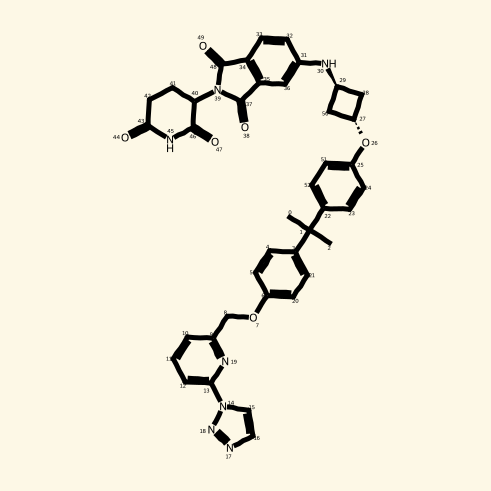 CC(C)(c1ccc(OCc2cccc(-n3ccnn3)n2)cc1)c1ccc(O[C@H]2C[C@H](Nc3ccc4c(c3)C(=O)N(C3CCC(=O)NC3=O)C4=O)C2)cc1